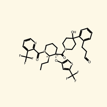 CCC[C@H]1N(C(=O)c2ncccc2C(F)(F)F)CCC[C@@]1(Oc1csc(C(F)(F)F)c1)C(=O)N1CCC(O)(c2ccccc2CCC=O)CC1